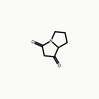 O=C1CC(=O)N2CCCC12